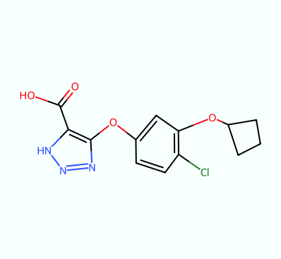 O=C(O)c1[nH]nnc1Oc1ccc(Cl)c(OC2CCC2)c1